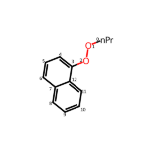 CCCOOc1cccc2ccccc12